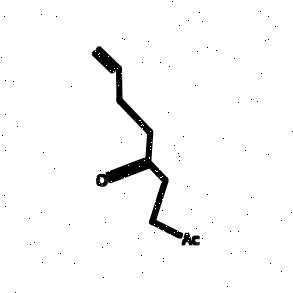 C=CCCC(=O)CCC(C)=O